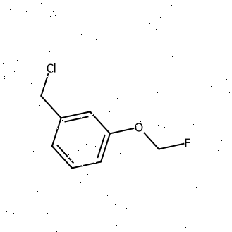 FCOc1cccc(CCl)c1